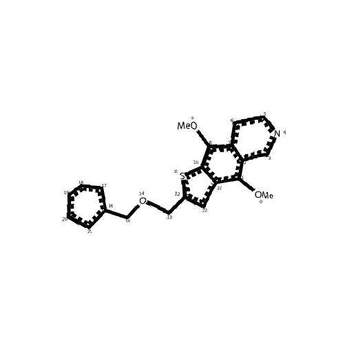 COc1c2cnccc2c(OC)c2sc(COCc3ccccc3)cc12